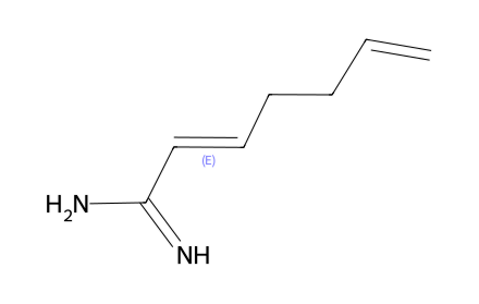 C=CCC/C=C/C(=N)N